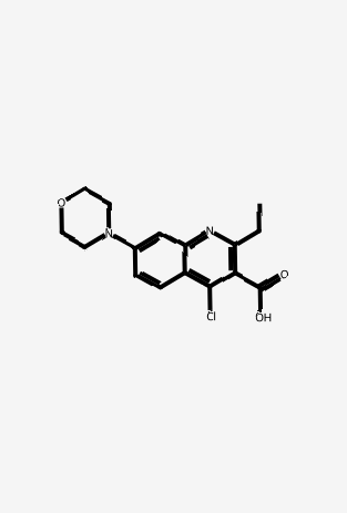 CCc1nc2cc(N3CCOCC3)ccc2c(Cl)c1C(=O)O